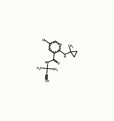 C#CC(C)(C)NC(=O)c1cc(Cl)cnc1NC1(C)CC1